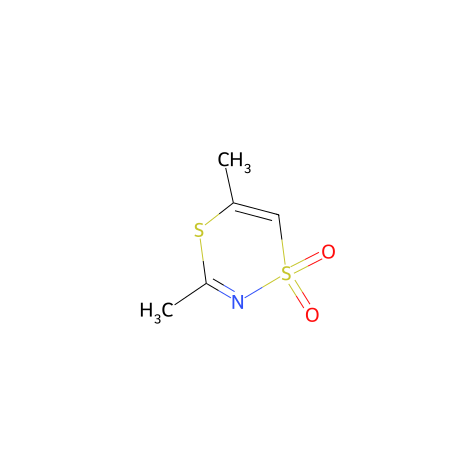 CC1=CS(=O)(=O)N=C(C)S1